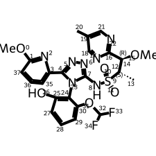 COC1=NC(c2nnc(NS(=O)(=O)[C@@H](C)[C@H](OC)c3ncc(C)cn3)n2-c2c(O)cccc2OC(F)F)=C=C=C1